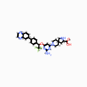 Nc1nc(OC(c2ccc(-c3ccc4nccnc4c3)cc2)C(F)(F)F)cc(N2CCC3(CC2)CNC(C(=O)O)C3)n1